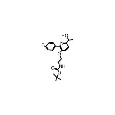 CC(O)c1ccc(OCCNC(=O)OC(C)(C)C)c(-c2ccc(F)cc2)n1